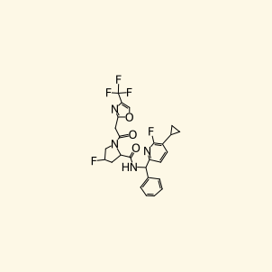 O=C(NC(c1ccccc1)c1ccc(C2CC2)c(F)n1)C1CC(F)CN1C(=O)Cc1nc(C(F)(F)F)co1